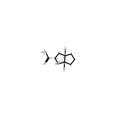 NC(=O)[C@@H]1C[C@@H]2CCC[C@@H]2N1